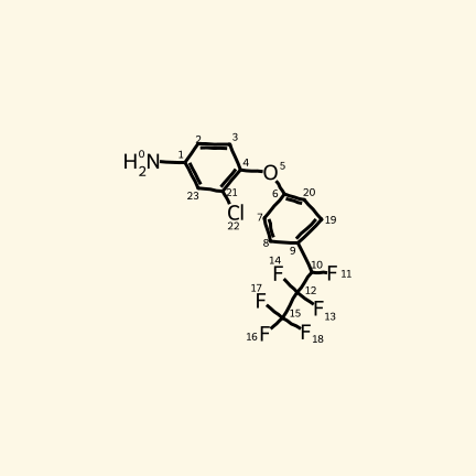 Nc1ccc(Oc2ccc(C(F)C(F)(F)C(F)(F)F)cc2)c(Cl)c1